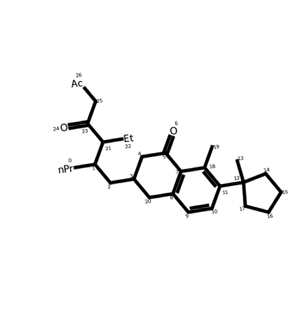 CCCC(CC1CC(=O)c2c(ccc(C3(C)CCCC3)c2C)C1)C(CC)C(=O)CC(C)=O